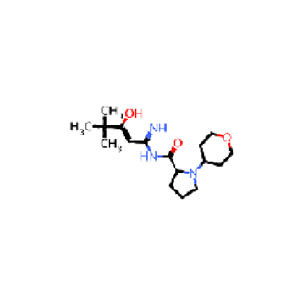 CC(C)(C)/C(O)=C/C(=N)NC(=O)[C@@H]1CCCN1C1CCOCC1